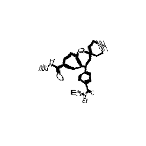 CCCCNC(=O)c1ccc2c(c1)C(c1ccc(C(=O)N(CC)CC)cc1)=CC1(CCNCC1)O2